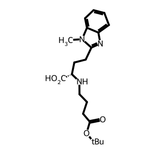 Cn1c(CC[C@H](NCCCC(=O)OC(C)(C)C)C(=O)O)nc2ccccc21